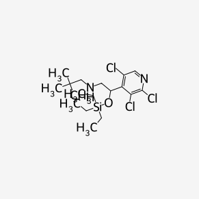 CC[Si](CC)(CC)OC(CNCC(C)(C)C)c1c(Cl)cnc(Cl)c1Cl